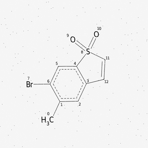 Cc1cc2c(cc1Br)S(=O)(=O)C=C2